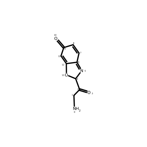 NCC(=O)C1N=C2C=CC(=O)C=C2O1